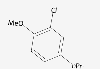 CC[CH]c1ccc(OC)c(Cl)c1